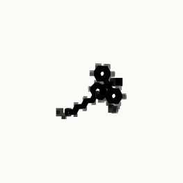 C=CCCCC[N+]12CCC(C(O)(c3ccccc3)c3ccccc3)(CC1)C2.[Br-]